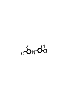 CCc1cc(N(C)Cc2ccc(Cl)c(Cl)c2)ccc1C=O